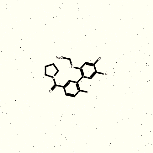 COCOc1cc(Cl)c(C#N)cc1-c1cc(C(=O)N2CCCC2)ccc1F